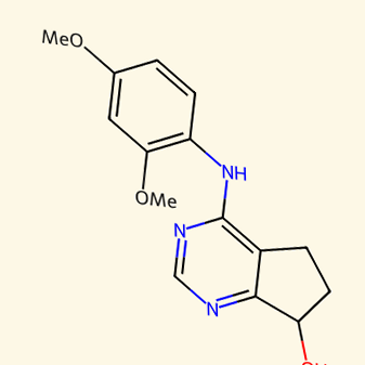 COc1ccc(Nc2ncnc3c2CCC3O)c(OC)c1